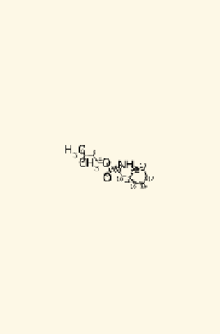 CC(C)CCOC(=O)[C@@H](N)Cc1ccccc1